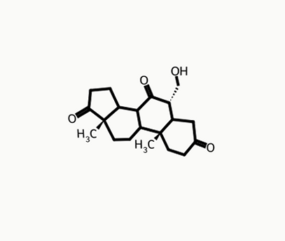 C[C@]12CCC(=O)CC1[C@@H](CO)C(=O)C1C2CC[C@]2(C)C(=O)CCC12